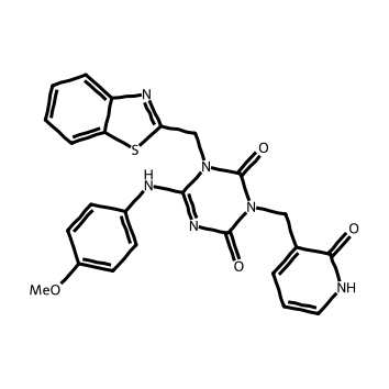 COc1ccc(Nc2nc(=O)n(Cc3ccc[nH]c3=O)c(=O)n2Cc2nc3ccccc3s2)cc1